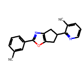 N#Cc1cccc(-c2nc3c(o2)CC(c2ncccc2C#N)C3)c1